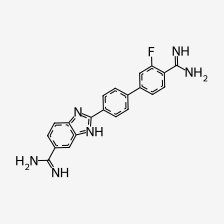 N=C(N)c1ccc2nc(-c3ccc(-c4ccc(C(=N)N)c(F)c4)cc3)[nH]c2c1